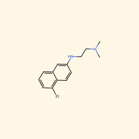 CCc1cccc2cc(NCCN(C)C)ccc12